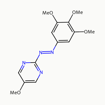 COc1cnc(N=Nc2cc(OC)c(OC)c(OC)c2)nc1